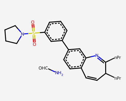 CCCC1=Nc2cc(-c3cccc(S(=O)(=O)N4CCCC4)c3)ccc2C=CC1CCC.NC=O